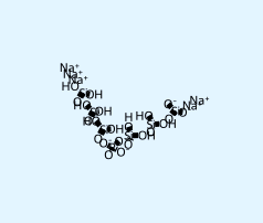 O=P([O-])([O-])[O-].O=[Si](O)O.O=[Si](O)O.O=[Si](O)O.O=[Si](O)O.O=[Si](O)O.O=[Si]([O-])[O-].[Na+].[Na+].[Na+].[Na+].[Na+]